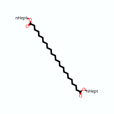 CCCCCCCOC(=O)CCCCCCCCCCCCCCCCCCCCCCC(=O)OCCCCCCC